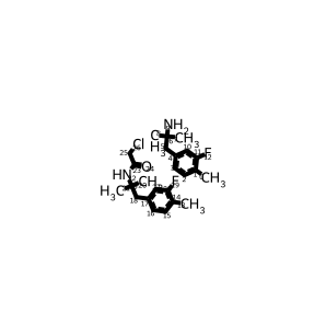 Cc1ccc(CC(C)(C)N)cc1F.Cc1ccc(CC(C)(C)NC(=O)CCl)cc1F